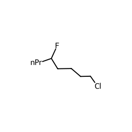 CCCC(F)CCCCCl